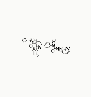 C1CCC1.CNC(=O)c1ccc(-c2ccc(NC(=O)NCc3cccnc3)cc2)nc1[AsH2]